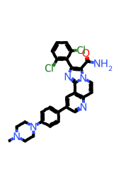 CN1CCN(c2ccc(-c3cnc4ccn5c(C(N)=O)c(-c6c(Cl)cccc6Cl)nc5c4c3)cc2)CC1